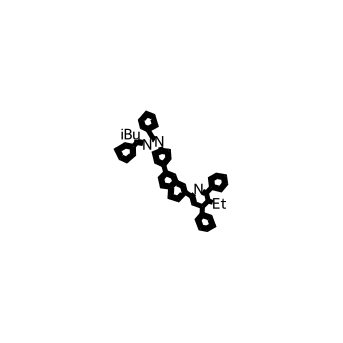 CCC(C)/C(=N\C(=N/c1ccc(-c2ccc3ccc(C4=CC(c5ccccc5)C(CC)C(c5ccccc5)=N4)cc3c2)cc1)c1ccccc1)c1ccccc1